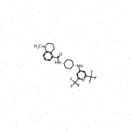 CN1CCCc2c(C(=O)N[C@H]3CC[C@@H](Nc4cc(C(F)(F)F)nc(C(F)(F)F)c4)CC3)cccc21